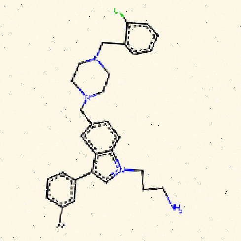 CC(=O)c1cccc(-c2cn(CCCN)c3ccc(CN4CCN(Cc5ccccc5Cl)CC4)cc23)c1